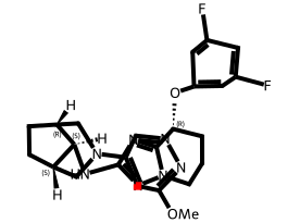 COc1cc(N2C[C@H]3CC[C@@H](C2)[C@@H]3Nc2nc3n(n2)CCC[C@H]3Oc2cc(F)cc(F)c2)cnn1